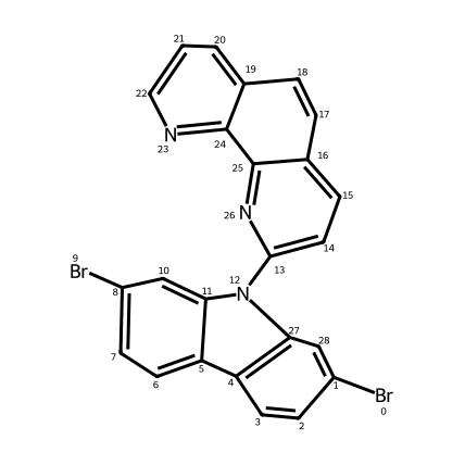 Brc1ccc2c3ccc(Br)cc3n(-c3ccc4ccc5cccnc5c4n3)c2c1